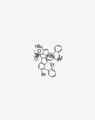 CCCCC1=Cc2c(ccc(C(C)C)c2-c2ccccc2CC)[CH]1[Zr]([Cl])([Cl])([CH]1C(CCCC)=Cc2c1ccc(C(C)C)c2-c1ccccc1CC)[SiH](C)C